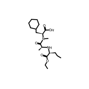 CCC[C@H](N[C@@H](C)C(=O)N(C)[C@@H](CC1CCCCC1)C(=O)O)C(=O)OCC